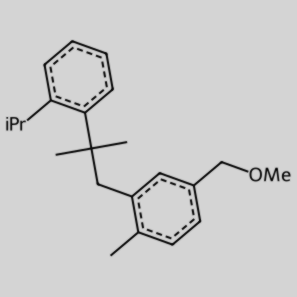 COCc1ccc(C)c(CC(C)(C)c2ccccc2C(C)C)c1